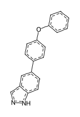 c1ccc(Oc2ccc(-c3ccc4[nH]ncc4c3)cc2)cc1